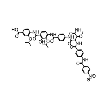 COC(C(N)=O)C(NC(=O)c1ccc(NC(=O)c2ccc([N+](=O)[O-])cc2)cc1)C(=O)Nc1ccc(C(=O)Nc2ccc(C(=O)Nc3ccc(C(=O)O)cc3OC(C)C)c(O)c2OC(C)C)cc1